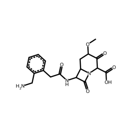 COC1CC2C(NC(=O)Cc3ccccc3CN)C(=O)N2C(C(=O)O)C1=O